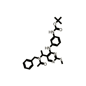 CSc1ncc(C(C)N(Cc2ccccc2)C(C)=O)c(Nc2cccc(NC(=O)OC(C)(C)C)c2)n1